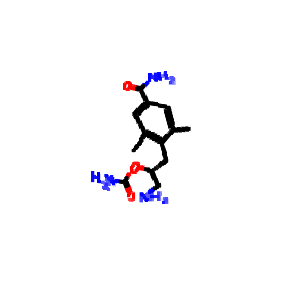 Cc1cc(C(N)=O)cc(C)c1C[C@@H](CN)OC(N)=O